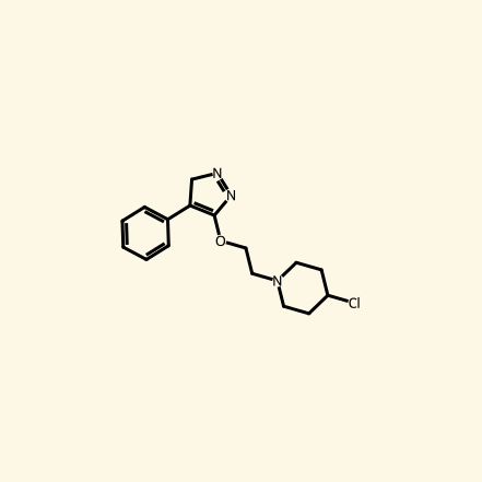 ClC1CCN(CCOC2=C(c3ccccc3)CN=N2)CC1